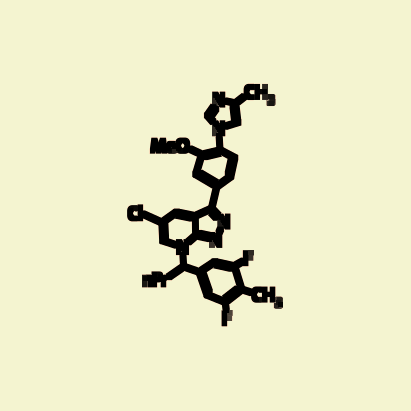 CCCC(c1cc(F)c(C)c(F)c1)n1cc(Cl)cc2c(-c3ccc(-n4cnc(C)c4)c(OC)c3)nnc1-2